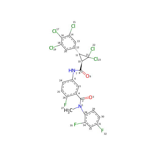 CN(C(=O)c1cc(NC(=O)[C@H]2[C@H](c3cc(Cl)c(Cl)c(Cl)c3)C2(Cl)Cl)ccc1F)c1ccc(F)cc1F